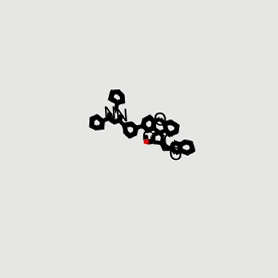 c1ccc(-c2cc(-c3cccc(-c4ccc5c(c4)C4(c6ccccc6O5)c5ccccc5-c5cc6oc7ccccc7c6cc54)c3)nc(-c3ccccc3)n2)cc1